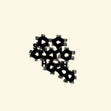 B1c2cccc3c2N(c2ccccc2S3)c2cc(N(c3ccccc3)c3ccccc3)cc(-c3cccc4c3[nH]c3cc5ccccc5cc34)c21